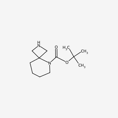 CC(C)(C)OC(=O)N1CCCCC12CNC2